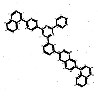 c1ccc(-c2nc(-c3ccc(-c4cccc5ccccc45)cc3)nc(-c3cccc(-c4ccc5cc(-c6cccc7ccccc67)ccc5c4)c3)n2)cc1